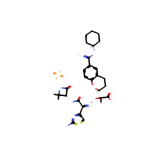 CC(O/N=C(\C(=O)N[C@@H]1C(=O)N(OS(=O)(=O)O)C1(C)C)c1csc(N)n1)(C(=O)O)[C@H]1CCc2cc(C(=N)N[C@@H]3CCC[C@@H](N)C3)ccc2O1